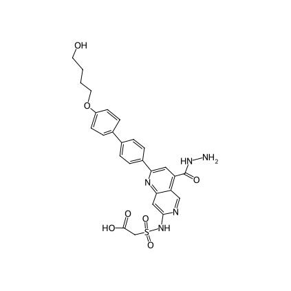 NNC(=O)c1cc(-c2ccc(-c3ccc(OCCCCO)cc3)cc2)nc2cc(NS(=O)(=O)CC(=O)O)ncc12